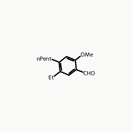 CCCCCc1cc(OC)c(C=O)cc1CC